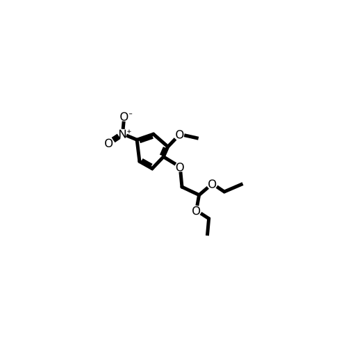 CCOC(COc1ccc([N+](=O)[O-])cc1OC)OCC